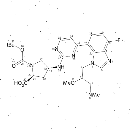 CNCC(Cn1cnc2c(F)ccc(-c3ccnc(N[C@H]4C[C@@H](C(=O)O)N(C(=O)OC(C)(C)C)C4)n3)c21)OC